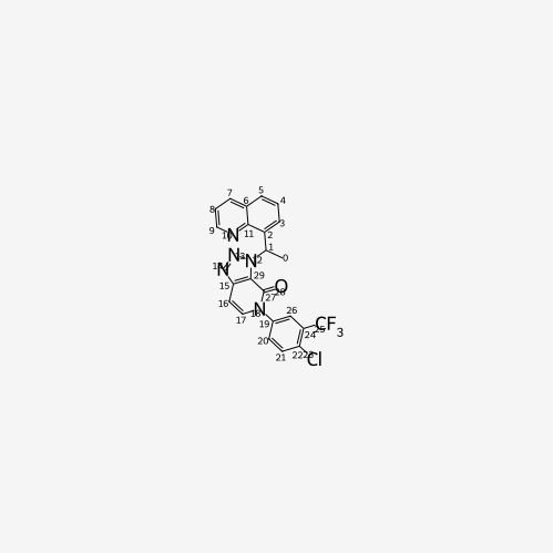 CC(c1cccc2cccnc12)n1nnc2ccn(-c3ccc(Cl)c(C(F)(F)F)c3)c(=O)c21